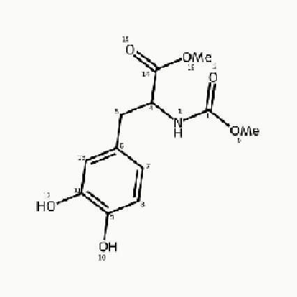 COC(=O)NC(Cc1ccc(O)c(O)c1)C(=O)OC